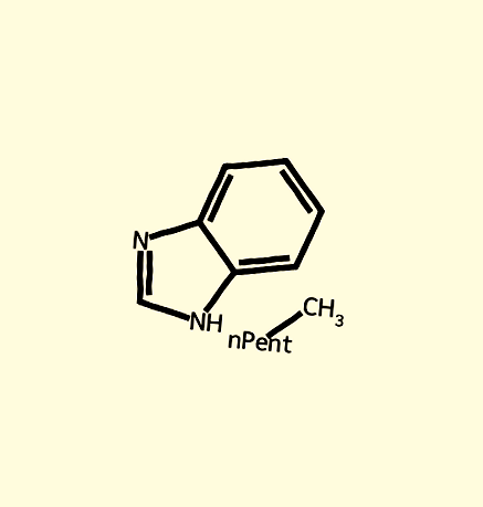 CCCCCC.c1ccc2[nH]cnc2c1